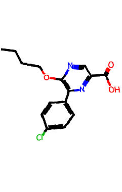 CCCCOc1ncc(C(=O)O)nc1-c1ccc(Cl)cc1